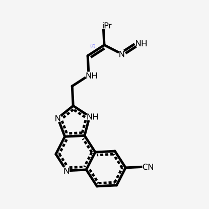 CC(C)/C(=C/NCc1nc2cnc3ccc(C#N)cc3c2[nH]1)N=N